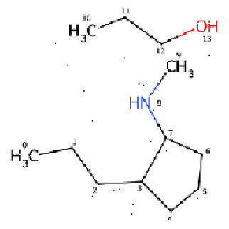 CCCC1CCCC1NC.CCCO